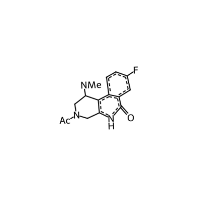 CNC1CN(C(C)=O)Cc2[nH]c(=O)c3cc(F)ccc3c21